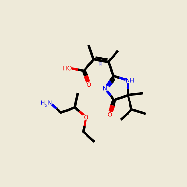 C/C(C(=O)O)=C(\C)C1=NC(=O)C(C)(C(C)C)N1.CCOC(C)CN